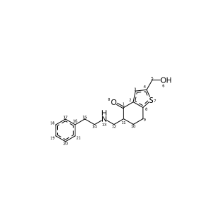 O=C1c2cc(CO)sc2CCC1CNCCc1ccccc1